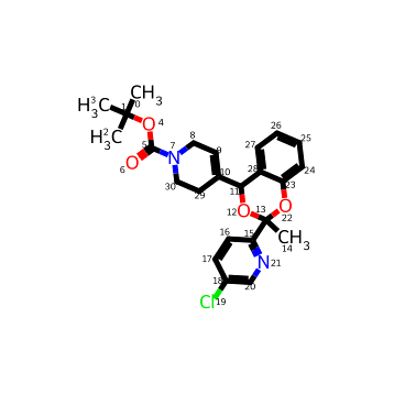 CC(C)(C)OC(=O)N1CC=C(C2OC(C)(c3ccc(Cl)cn3)Oc3ccccc32)CC1